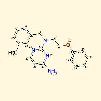 Cc1cccc(CN(CCOc2ccccc2)c2nccc(N)n2)c1